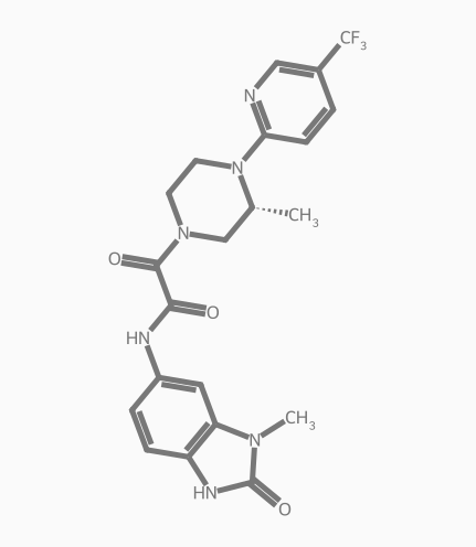 C[C@@H]1CN(C(=O)C(=O)Nc2ccc3[nH]c(=O)n(C)c3c2)CCN1c1ccc(C(F)(F)F)cn1